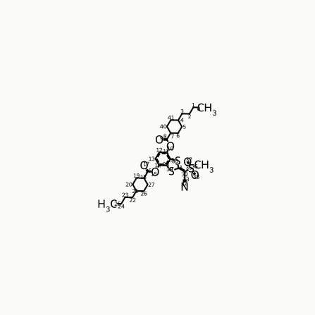 CCCCC1CCC(C(=O)Oc2ccc(OC(=O)C3CCC(CCCC)CC3)c3c2SC(=C(C#N)S(C)(=O)=O)S3)CC1